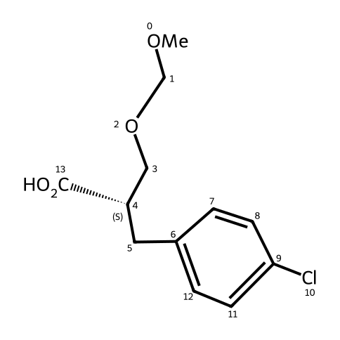 COCOC[C@H](Cc1ccc(Cl)cc1)C(=O)O